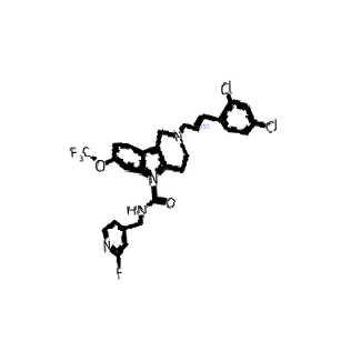 O=C(NCc1ccnc(F)c1)n1c2c(c3ccc(OC(F)(F)F)cc31)CN(C/C=C/c1ccc(Cl)cc1Cl)CC2